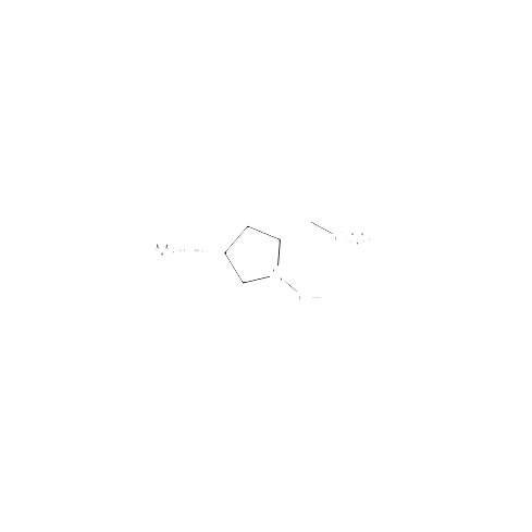 COC[C@H]1C[C@@H](OC)CN1C